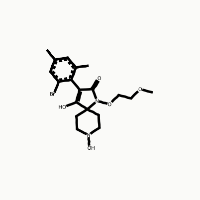 COCCON1C(=O)C(c2c(C)cc(C)cc2Br)=C(O)C12CCN(O)CC2